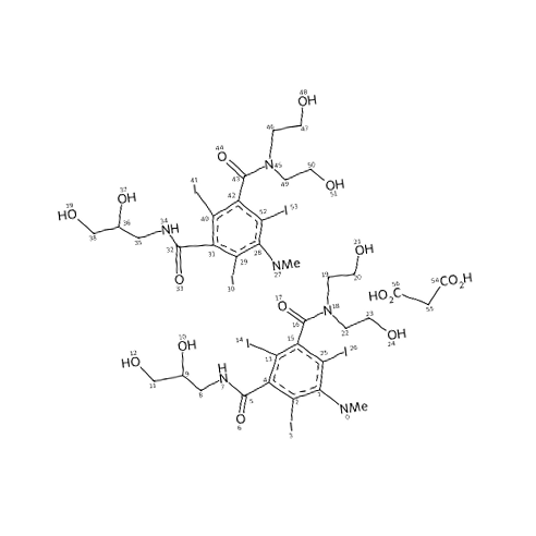 CNc1c(I)c(C(=O)NCC(O)CO)c(I)c(C(=O)N(CCO)CCO)c1I.CNc1c(I)c(C(=O)NCC(O)CO)c(I)c(C(=O)N(CCO)CCO)c1I.O=C(O)CC(=O)O